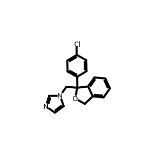 Clc1ccc(C2(Cn3ccnc3)OCc3ccccc32)cc1